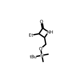 CCC1C(=O)NC1CO[Si](C)(C)C(C)(C)C